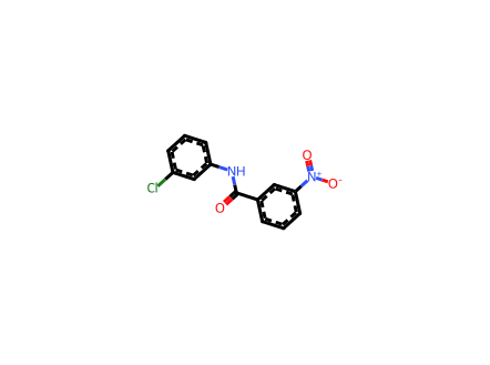 O=C(Nc1cccc(Cl)c1)c1cccc([N+](=O)[O-])c1